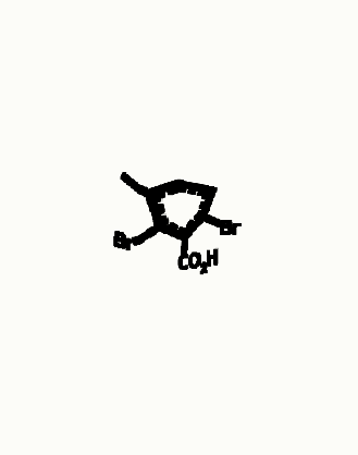 Cc1ccc(Br)c(C(=O)O)c1Br